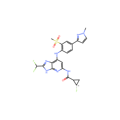 Cn1ccc(-c2ccc(Nc3cc(NC(=O)C4C[C@@H]4F)nc4[nH]c(C(F)F)nc34)c(S(C)(=O)=O)c2)n1